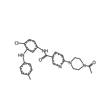 CC(=O)N1CCN(c2ccc(C(=O)Nc3ccc(Cl)c(Nc4ccc(C)cc4)c3)cn2)CC1